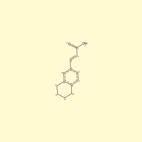 O=C(O)/C=C/c1ccc2c(c1)CCCC2